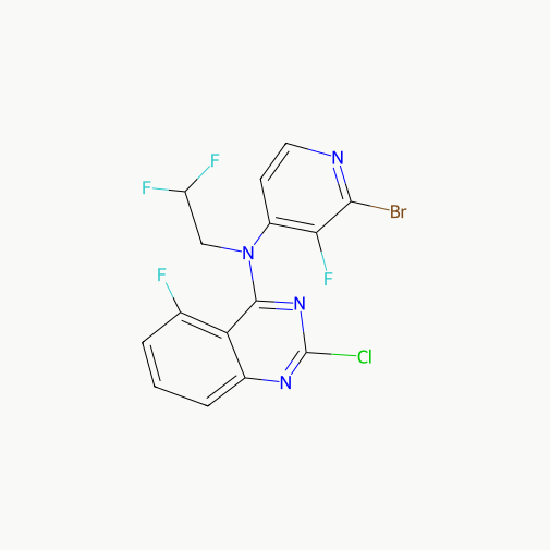 Fc1c(N(CC(F)F)c2nc(Cl)nc3cccc(F)c23)ccnc1Br